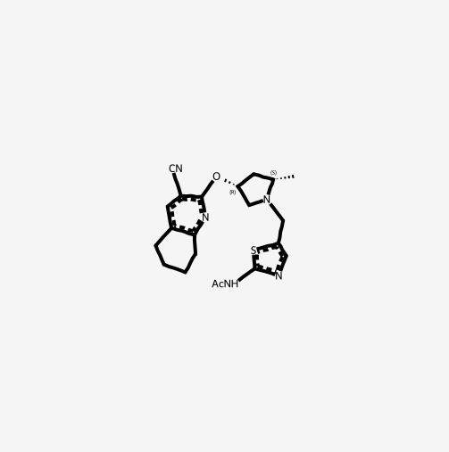 CC(=O)Nc1ncc(CN2C[C@H](Oc3nc4c(cc3C#N)CCCC4)C[C@@H]2C)s1